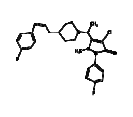 CC(c1c(Cl)c(=O)n(-c2ccc(F)cc2)n1C)N1CCC(C/C=C\c2ccc(F)cc2)CC1